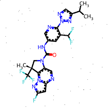 CC(C)c1cnn(-c2ncc(NC(=O)N3C[C@@](C)(C(F)(F)F)c4c3cnc3cc(F)nn43)cc2C(F)F)n1